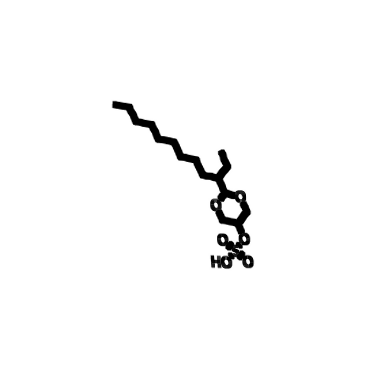 CCCCCCCCCC(CC)C1OCC(OS(=O)(=O)O)CO1